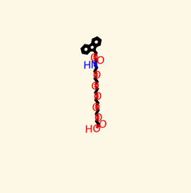 O=C(O)COCCOCCOCCOCCOCCNC(=O)OCC1c2ccccc2-c2ccccc21